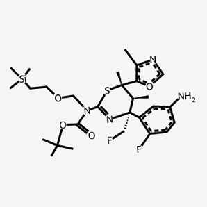 Cc1ncoc1[C@@]1(C)SC(N(COCC[Si](C)(C)C)C(=O)OC(C)(C)C)=N[C@](CF)(c2cc(N)ccc2F)[C@@H]1C